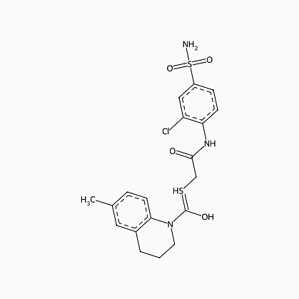 Cc1ccc2c(c1)CCCN2C(O)=[SH]CC(=O)Nc1ccc(S(N)(=O)=O)cc1Cl